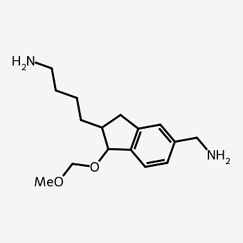 COCOC1c2ccc(CN)cc2CC1CCCCN